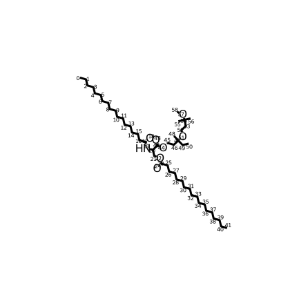 CCCCCCCCCCCCCCCCCC(=O)NC(COC(=O)CCCCCCCCCCCCCCCCC)C(=O)OCCC(C)(CC)OCCC(C)(C)OC